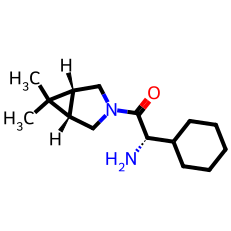 CC1(C)[C@@H]2CN(C(=O)[C@@H](N)C3CCCCC3)C[C@@H]21